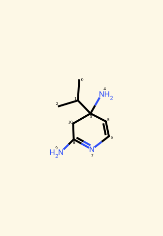 CC(C)C1(N)C=CN=C(N)C1